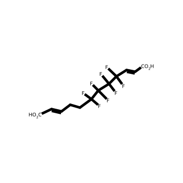 O=C(O)C=CCCC(F)(F)C(F)(F)C(F)(F)C(F)(F)C=CC(=O)O